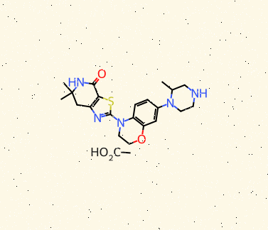 CC(=O)O.CC1CNCCN1c1ccc2c(c1)OCCN2c1nc2c(s1)C(=O)NC(C)(C)C2